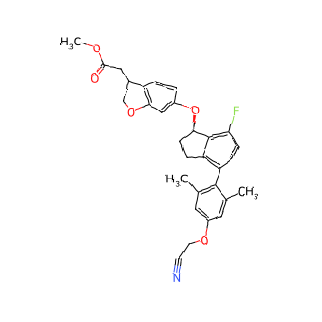 COC(=O)CC1COc2cc(O[C@@H]3CCc4c(-c5c(C)cc(OCC#N)cc5C)ccc(F)c43)ccc21